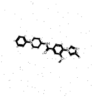 COc1cc(C(=O)NC2CCN(c3ccccc3)CC2)ccc1-n1cnc(C)c1